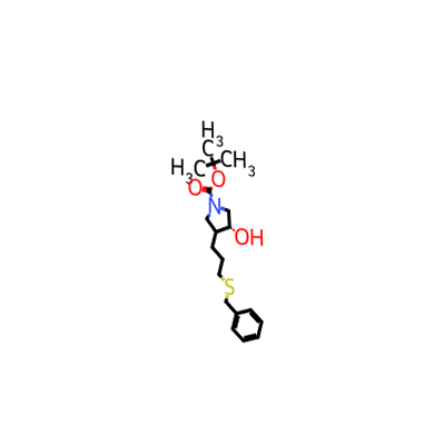 CC(C)(C)OC(=O)N1CC(CCCSCc2ccccc2)[C@@H](O)C1